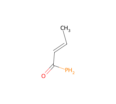 C/C=C/C(=O)P